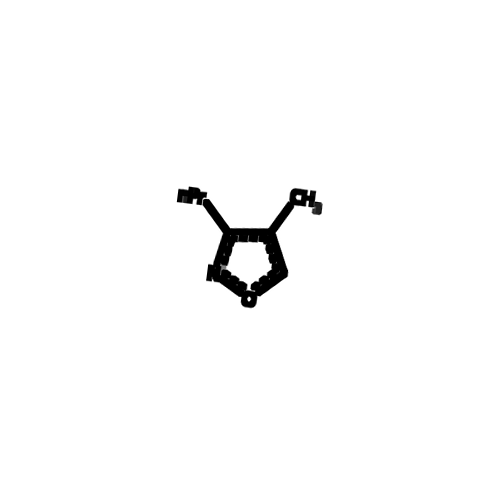 C[CH]Cc1nocc1C